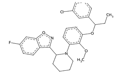 CCC(Oc1[c]ccc(N2CCCCC2c2noc3cc(F)ccc23)c1OC)c1cccc(Cl)c1